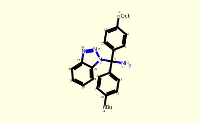 CCCCCCCCc1ccc(C(N)(c2ccc(CCCC)cc2)n2nnc3ccccc32)cc1